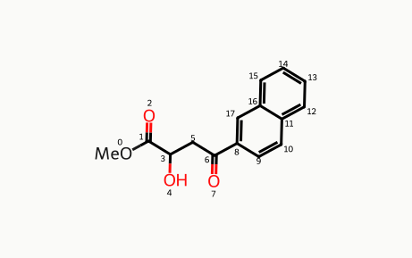 COC(=O)C(O)CC(=O)c1ccc2ccccc2c1